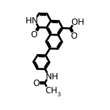 CC(=O)Nc1cccc(-c2ccc3c(C(=O)O)cc4cc[nH]c(=O)c4c3c2)c1